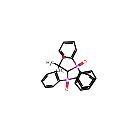 CC(C)(C)C(P(=O)(c1ccccc1)c1ccccc1)P(=O)(c1ccccc1)c1ccccc1